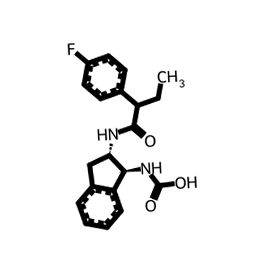 CCC(C(=O)N[C@H]1Cc2ccccc2[C@@H]1NC(=O)O)c1ccc(F)cc1